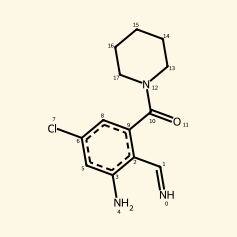 N=Cc1c(N)cc(Cl)cc1C(=O)N1CCCCC1